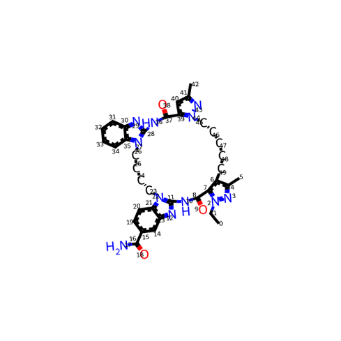 CCn1nc(C)c2c1C(=O)Nc1nc3cc(C(N)=O)ccc3n1CCCCn1c(nc3ccccc31)NC(=O)c1cc(C)nn1CCCCC2